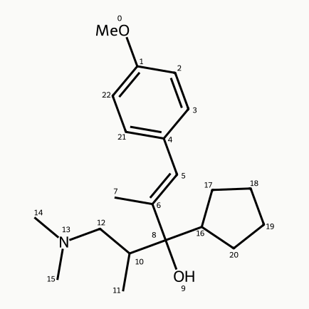 COc1ccc(/C=C(\C)C(O)(C(C)CN(C)C)C2CCCC2)cc1